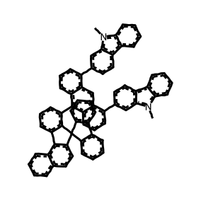 Cn1c2ccccc2c2ccc(-c3cccc4c(-c5cccc6c5C5(c7ccccc7-c7ccccc75)c5ccc7ccccc7c5-6)c5cccc(-c6ccc7c8ccccc8n(C)c7c6)c5cc34)cc21